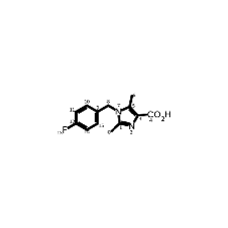 Cc1nc(C(=O)O)c(C)n1Cc1ccc(F)cc1